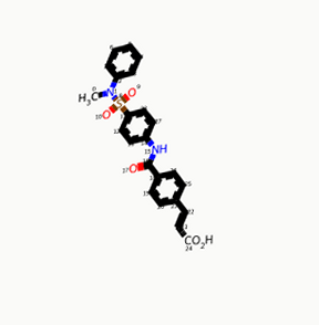 CN(c1ccccc1)S(=O)(=O)c1ccc(NC(=O)c2ccc(/C=C/C(=O)O)cc2)cc1